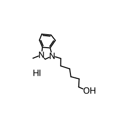 CN1CN(CCCCCCO)c2ccccc21.I